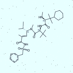 CN[C@H](C(=O)N[C@H](C(=O)N(C)[C@H](C=C(C)C(=O)NS(=O)(=O)Cc1ccccc1)C(C)C)C(C)(C)C)C(C)(C)C1CCCCC1